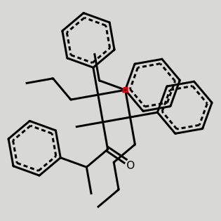 CCCCC(CCC)(c1ccccc1)C(C)(C(=O)C(C)c1ccccc1)C(CCC)(c1ccccc1)c1ccccc1